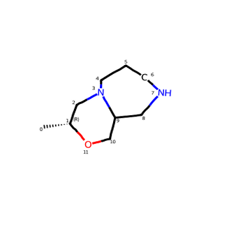 C[C@@H]1CN2CCCNCC2CO1